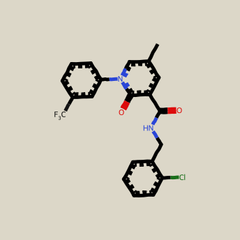 Cc1cc(C(=O)NCc2ccccc2Cl)c(=O)n(-c2cccc(C(F)(F)F)c2)c1